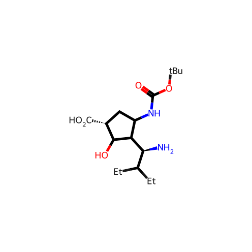 CCC(CC)[C@H](N)C1C(NC(=O)OC(C)(C)C)C[C@@H](C(=O)O)C1O